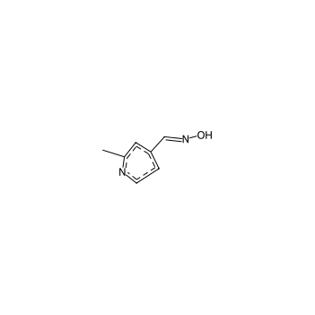 Cc1cc(/C=N/O)ccn1